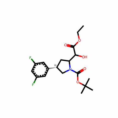 CCOC(=O)C(O)C1C[C@@H](c2cc(F)cc(F)c2)CN1C(=O)OC(C)(C)C